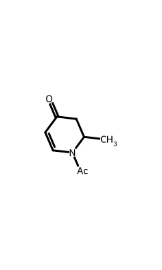 CC(=O)N1C=CC(=O)CC1C